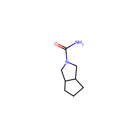 NC(=O)N1CC2C[CH]CC2C1